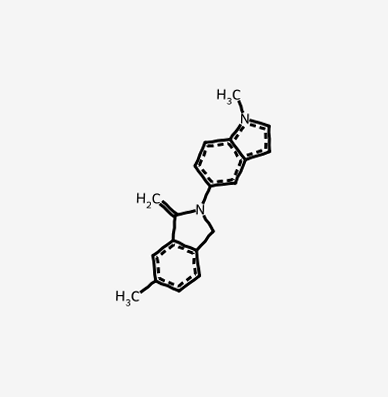 C=C1c2cc(C)ccc2CN1c1ccc2c(ccn2C)c1